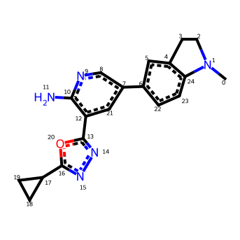 CN1CCc2cc(-c3cnc(N)c(-c4nnc(C5CC5)o4)c3)ccc21